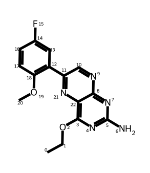 CCOc1nc(N)nc2ncc(-c3cc(F)ccc3OC)nc12